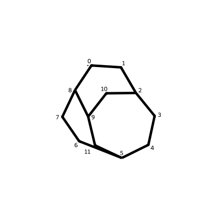 [CH]1CC2CCC3CCC1C(C2)C3